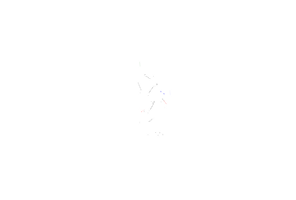 COC1=CC(=C2C(=O)Nc3cc(F)ccc32)OC1